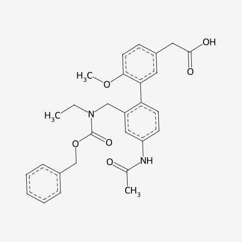 CCN(Cc1cc(NC(C)=O)ccc1-c1cc(CC(=O)O)ccc1OC)C(=O)OCc1ccccc1